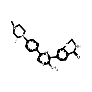 C[C@@H]1CN(C)CCN1c1ccc(-c2cnc(N)c(-c3ccc4c(c3)CCNC4=O)n2)cc1